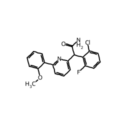 COc1ccccc1-c1cccc(C(C(N)=O)c2c(F)cccc2Cl)n1